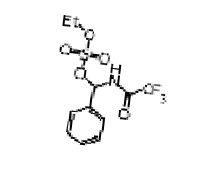 CCOS(=O)(=O)OC(NC(=O)C(F)(F)F)c1ccccc1